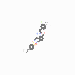 Cc1ccc2c(c1NC(=O)Cc1ccc(C(F)(F)F)c(F)c1)CCN(S(=O)(=O)c1ccc(C(F)(F)F)cc1)C2